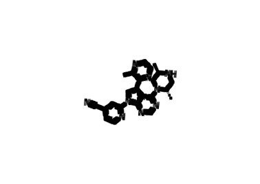 Cc1nccnc1-c1cn(-c2cc(C#N)ccn2)c2ncnc(N3C[C@@H](C)NC[C@@H]3C)c12